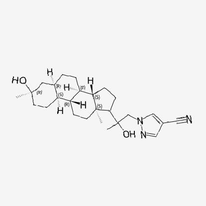 CC(O)(Cn1cc(C#N)cn1)C1CC[C@H]2[C@@H]3CC[C@@H]4C[C@](C)(O)CC[C@@H]4[C@H]3CC[C@]12C